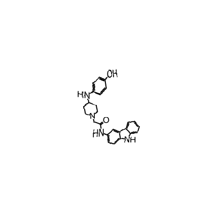 O=C(CN1CCC(Nc2ccc(O)cc2)CC1)Nc1ccc2[nH]c3ccccc3c2c1